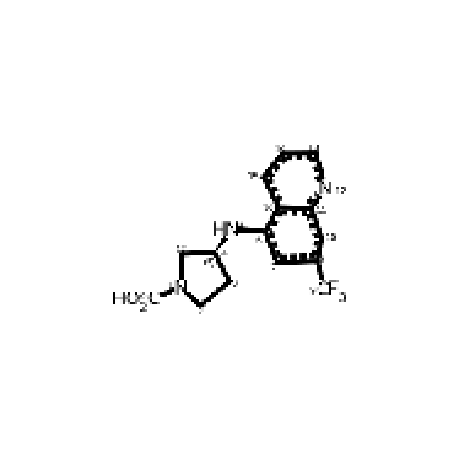 O=C(O)N1CC[C@H](Nc2cc(C(F)(F)F)cc3ncccc23)C1